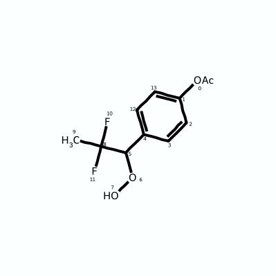 CC(=O)Oc1ccc(C(OO)C(C)(F)F)cc1